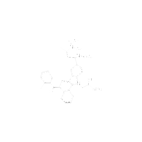 CCCCC(CC)Cn1c2ccc(/C(CC(C)N(OC(C)=O)C(C)=O)=N\OC(C)=O)cc2c2cc(C(=O)c3ccccc3C)c3ccccc3c21